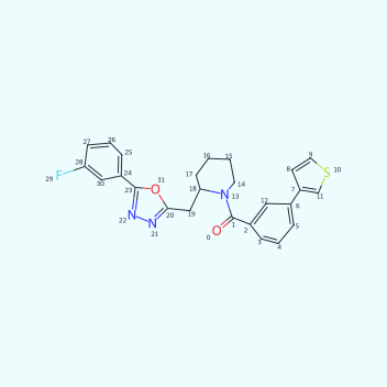 O=C(c1cccc(-c2ccsc2)c1)N1CCCCC1Cc1nnc(-c2cccc(F)c2)o1